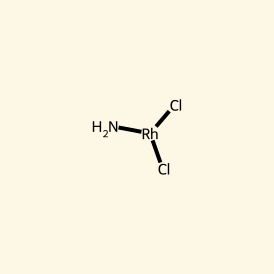 [NH2][Rh]([Cl])[Cl]